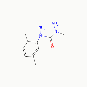 Cc1ccc(C)c(N(N)C(=O)N(C)N)c1